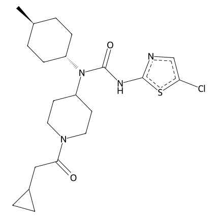 C[C@H]1CC[C@H](N(C(=O)Nc2ncc(Cl)s2)C2CCN(C(=O)CC3CC3)CC2)CC1